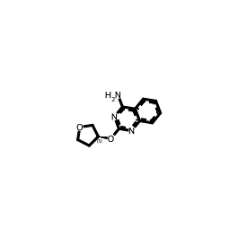 Nc1nc(O[C@H]2CCOC2)nc2ccccc12